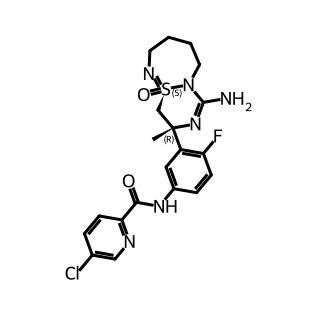 C[C@@]1(c2cc(NC(=O)c3ccc(Cl)cn3)ccc2F)C[S@@]2(=O)=NCCCCN2C(N)=N1